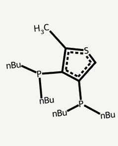 CCCCP(CCCC)c1csc(C)c1P(CCCC)CCCC